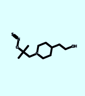 CC(C)(CN1CCC(CCO)CC1)ON=S